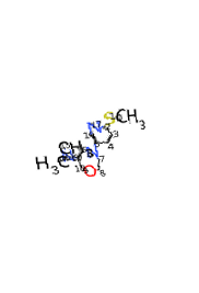 CSc1ccc(N2CCOC[C@@H](N(C)C)C2)cn1